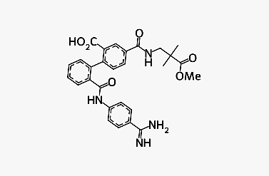 COC(=O)C(C)(C)CNC(=O)c1ccc(-c2ccccc2C(=O)Nc2ccc(C(=N)N)cc2)c(C(=O)O)c1